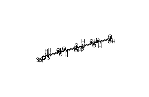 CC(=O)N(O)CCCCCNC(=O)CCC(=O)N(O)CCCCCNC(=O)CCC(=O)N(O)CCCCCNC(=O)CCC(=O)N(O)CCCCCNC(=S)Nc1ccc(N=C=S)cc1